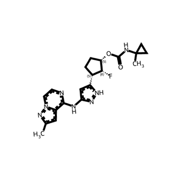 Cc1cc2c(Nc3cc([C@@H]4CC[C@H](OC(=O)NC5(C)CC5)[C@@H]4F)[nH]n3)nccn2n1